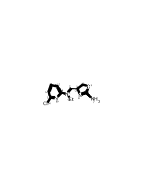 CCN(C[C@H]1COC(N)=N1)c1cccc(Cl)n1